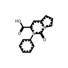 O=C(O)c1cc2cccn2c(=O)n1-c1ccccc1